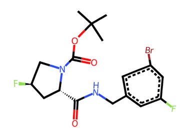 CC(C)(C)OC(=O)N1C[C@H](F)C[C@H]1C(=O)NCc1cc(F)cc(Br)c1